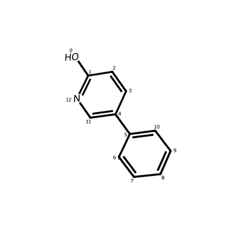 Oc1ccc(-c2[c]cccc2)cn1